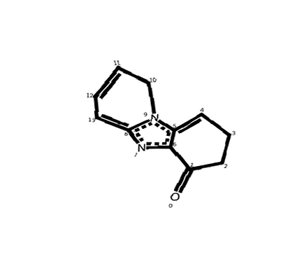 O=C1CCC=c2c1nc1n2CC=CC=1